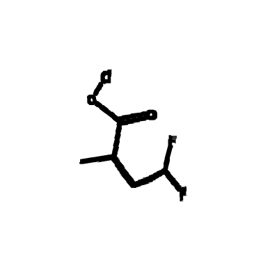 CC(CC(F)F)C(=O)OCl